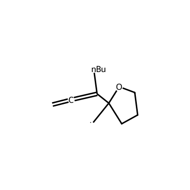 [CH2]C1(C(=C=C)CCCC)CCCO1